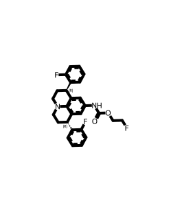 O=C(Nc1cc2c3c(c1)[C@H](c1ccccc1F)CCN3CC[C@H]2c1ccccc1F)OCCF